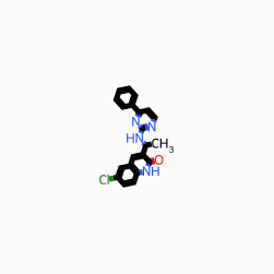 CC(Nc1nccc(-c2ccccc2)n1)c1cc2cc(Cl)ccc2[nH]c1=O